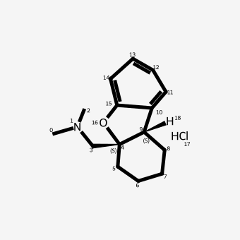 CN(C)C[C@]12CCCC[C@H]1c1ccccc1O2.Cl